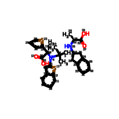 CC(C)(C)N(c1cc2ccccc2s1)[C@@](C)(C(=O)O)c1cccs1.C[C@H](NC1Cc2ccccc2C1)C(=O)O